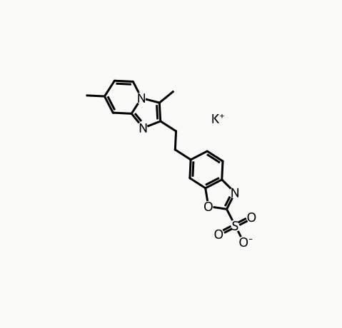 Cc1ccn2c(C)c(CCc3ccc4nc(S(=O)(=O)[O-])oc4c3)nc2c1.[K+]